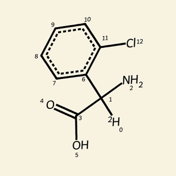 [2H]C(N)(C(=O)O)c1ccccc1Cl